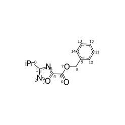 CC(C)c1noc(C(=O)OCc2ccccc2)n1